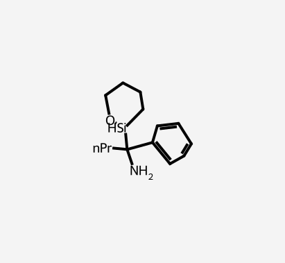 CCCC(N)(c1ccccc1)[SiH]1CCCCO1